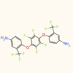 Nc1ccc(Oc2c(F)c(F)c(Oc3ccc(N)cc3C(F)(F)F)c(F)c2F)c(C(F)(F)F)c1